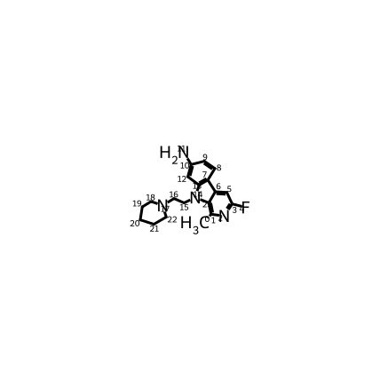 Cc1nc(F)cc2c3ccc(N)cc3n(CCN3CCCCC3)c12